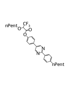 CCCCCOC(C(=O)Oc1ccc(-c2cnc(-c3ccc(CCCCC)cc3)nc2)cc1)C(F)(F)F